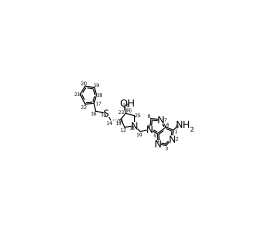 Nc1ncnc2c1ncn2CN1C[C@H](CSCc2ccccc2)[C@@H](O)C1